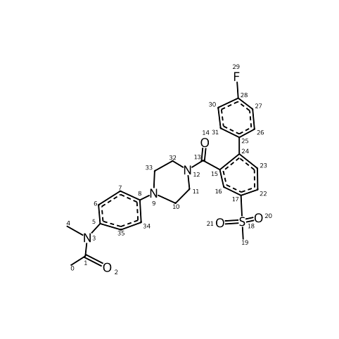 CC(=O)N(C)c1ccc(N2CCN(C(=O)c3cc(S(C)(=O)=O)ccc3-c3ccc(F)cc3)CC2)cc1